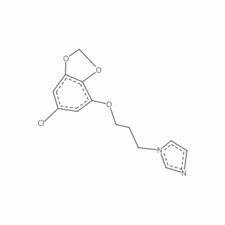 Clc1cc(OCCCn2ccnc2)c2c(c1)OCO2